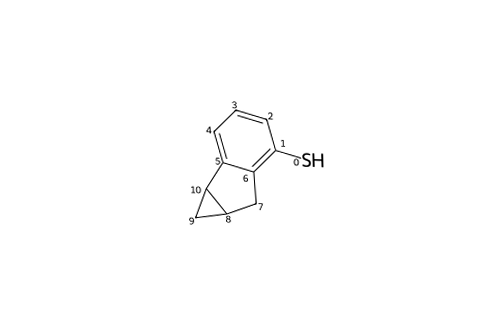 Sc1cccc2c1CC1CC21